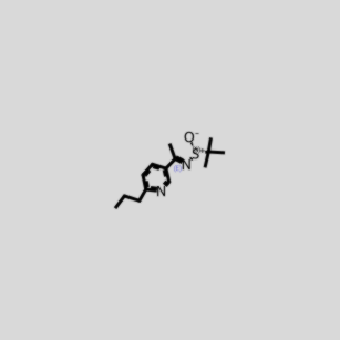 CCCc1ccc(/C(C)=N/[S@+]([O-])C(C)(C)C)cn1